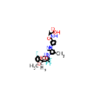 COc1ccc(F)cc1C(C)(C)CC(O)(CNc1cc(C)cc2c1cnn2-c1cccc(C(=O)NC2(C(=O)O)CC2)c1)C(F)(F)F